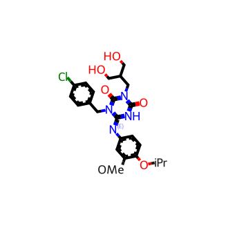 COc1cc(/N=c2\[nH]c(=O)n(CC(CO)CO)c(=O)n2Cc2ccc(Cl)cc2)ccc1OC(C)C